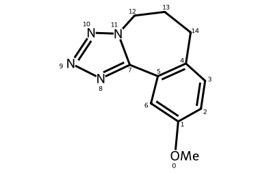 COc1ccc2c(c1)-c1nnnn1CCC2